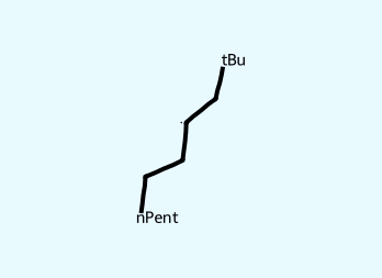 CCCCCCC[CH]CC(C)(C)C